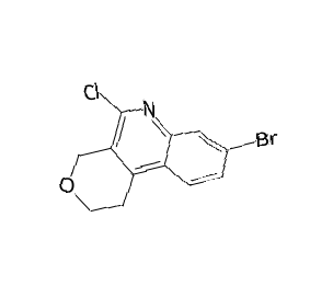 Clc1nc2cc(Br)ccc2c2c1COCC2